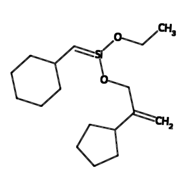 C=C(CO[Si](=CC1CCCCC1)OCC)C1CCCC1